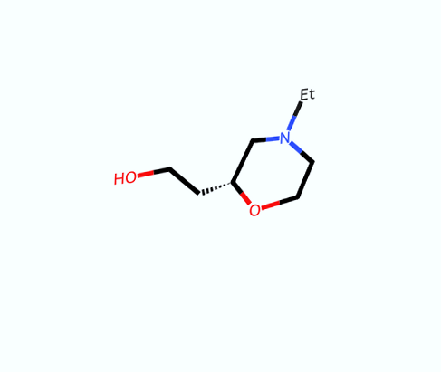 CCN1CCO[C@H](CCO)C1